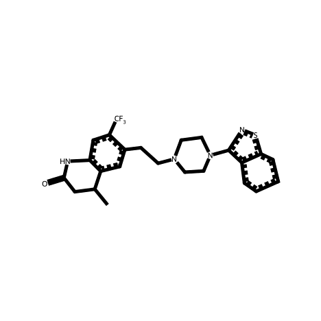 CC1CC(=O)Nc2cc(C(F)(F)F)c(CCN3CCN(c4nsc5ccccc45)CC3)cc21